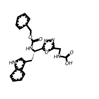 O=C(O)NCc1nnc([C@H](Cc2c[nH]c3ccccc23)NC(=O)OCc2ccccc2)o1